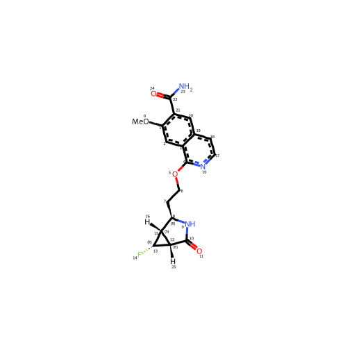 COc1cc2c(OCC[C@H]3NC(=O)[C@@H]4[C@H](F)[C@@H]43)nccc2cc1C(N)=O